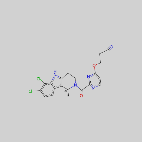 C[C@H]1c2c([nH]c3c(Cl)c(Cl)ccc23)CCN1C(=O)c1nccc(OCCC#N)n1